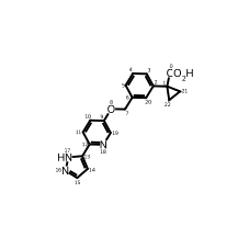 O=C(O)C1(c2cccc(COc3ccc(-c4ccn[nH]4)nc3)c2)CC1